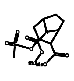 COC(=O)C1C(OS(C)(=O)=O)CC2CCC1N2C(=O)OC(C)(C)C